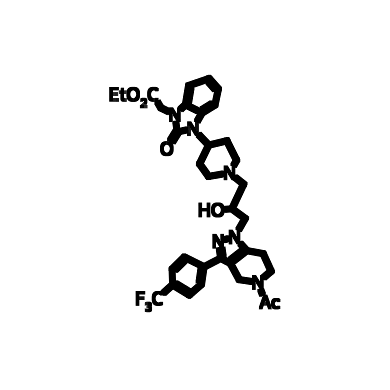 CCOC(=O)Cn1c(=O)n(C2CCN(CC(O)Cn3nc(-c4ccc(C(F)(F)F)cc4)c4c3CCN(C(C)=O)C4)CC2)c2ccccc21